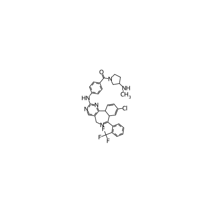 CNC1CCN(C(=O)c2ccc(Nc3ncc4c(n3)C3C=CC(Cl)=CC3C(c3ccccc3C(F)(F)F)=NC4)cc2)C1